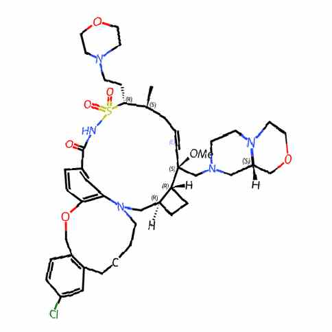 CO[C@]1(CN2CCN3CCOC[C@@H]3C2)/C=C/C[C@H](C)[C@@H](CCN2CCOCC2)S(=O)(=O)NC(=O)c2ccc3c(c2)N(CCCCc2cc(Cl)ccc2CO3)C[C@@H]2CC[C@H]21